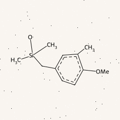 COc1ccc(C[Si](C)(C)[O])cc1C